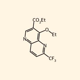 CCOC(=O)c1cnc2ccc(C(F)(F)F)nc2c1OCC